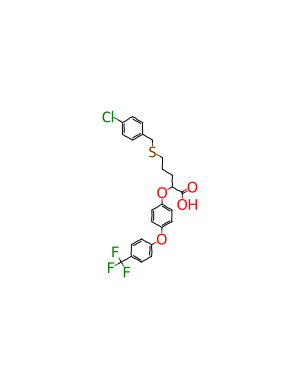 O=C(O)C(CCCSCc1ccc(Cl)cc1)Oc1ccc(Oc2ccc(C(F)(F)F)cc2)cc1